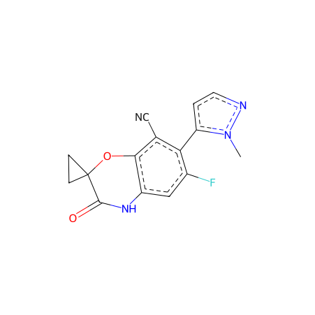 Cn1nccc1-c1c(F)cc2c(c1C#N)OC1(CC1)C(=O)N2